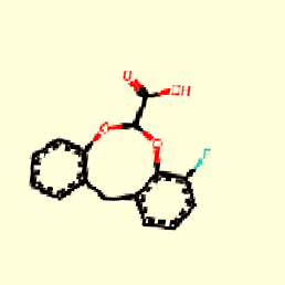 O=C(O)C1Oc2ccccc2Cc2cccc(F)c2O1